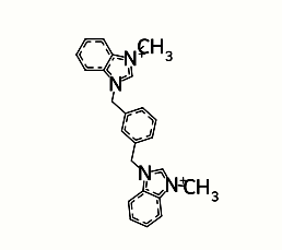 C[n+]1cn(Cc2cccc(Cn3c[n+](C)c4ccccc43)c2)c2ccccc21